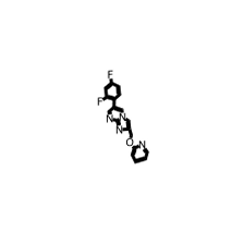 Fc1ccc(-c2cnc3nc(COc4ccccn4)cn3c2)c(F)c1